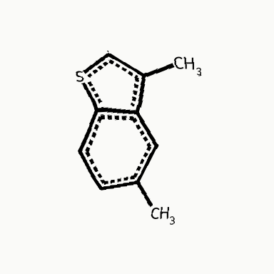 Cc1ccc2s[c]c(C)c2c1